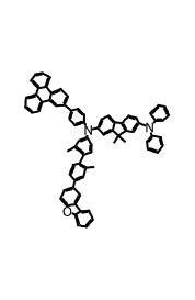 Cc1cc(-c2ccc3oc4ccccc4c3c2)ccc1-c1ccc(N(c2ccc(-c3ccc4c5ccccc5c5ccccc5c4c3)cc2)c2ccc3c(c2)C(C)(C)c2cc(N(c4ccccc4)c4ccccc4)ccc2-3)cc1C